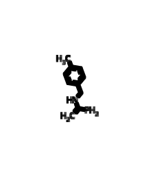 C=C(P)NCc1ccc(C)cc1